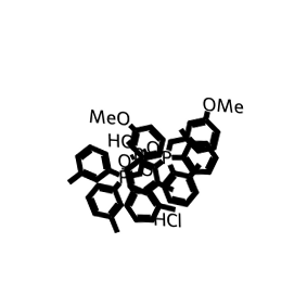 COc1cccc(CP(OP(=O)(O)OP(Cc2cccc(OC)c2)(c2ccccc2C)(c2ccccc2C)c2ccccc2C)(c2cccc(C)c2)(c2cccc(C)c2)c2cccc(C)c2)c1.Cl